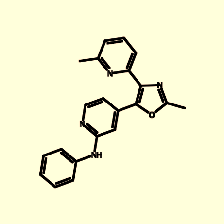 Cc1cccc(-c2nc(C)oc2-c2ccnc(Nc3ccccc3)c2)n1